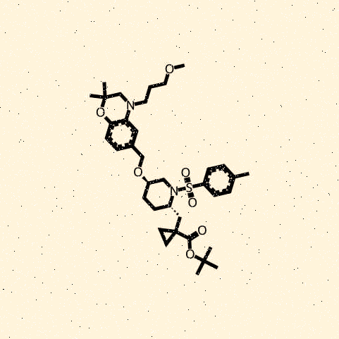 COCCCN1CC(C)(C)Oc2ccc(CO[C@@H]3CC[C@@H](CC4(C(=O)OC(C)(C)C)CC4)N(S(=O)(=O)c4ccc(C)cc4)C3)cc21